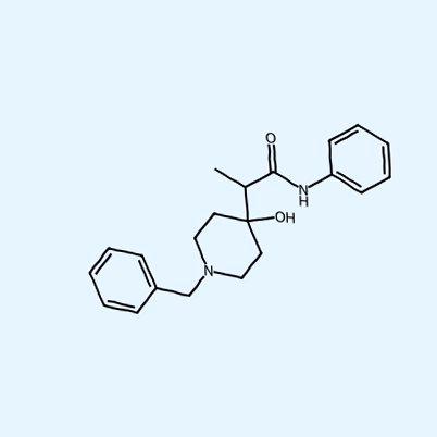 CC(C(=O)Nc1ccccc1)C1(O)CCN(Cc2ccccc2)CC1